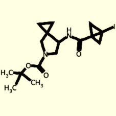 CC(C)(C)OC(=O)N1CC(NC(=O)C23CC2(I)C3)C2(CC2)C1